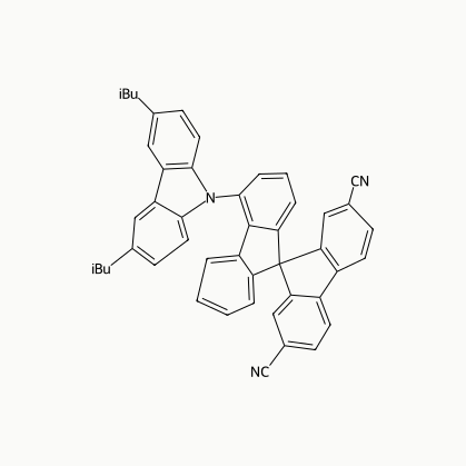 CCC(C)c1ccc2c(c1)c1cc(C(C)CC)ccc1n2-c1cccc2c1-c1ccccc1C21c2cc(C#N)ccc2-c2ccc(C#N)cc21